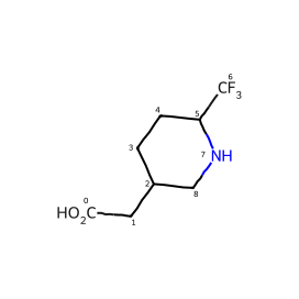 O=C(O)CC1CCC(C(F)(F)F)NC1